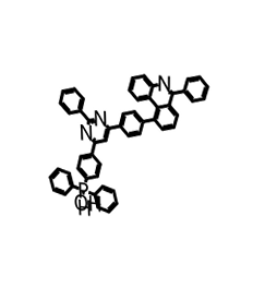 O[PH](c1ccccc1)(c1ccccc1)c1ccc(-c2cc(-c3ccc(-c4cccc5c(-c6ccccc6)nc6ccccc6c45)cc3)nc(-c3ccccc3)n2)cc1